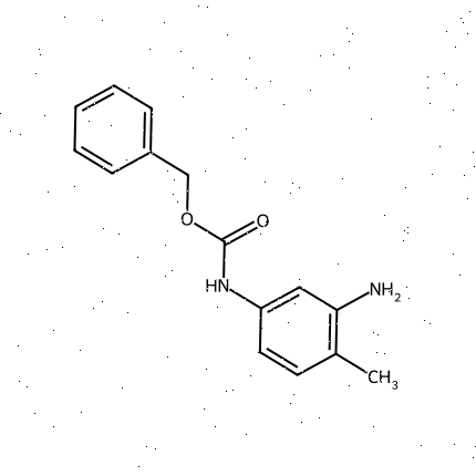 Cc1ccc(NC(=O)OCc2ccccc2)cc1N